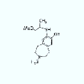 BN1CCc2cc(O)c(NC(C)COC)cc2CC1